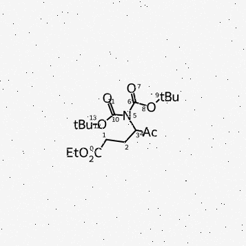 CCOC(=O)CCC(C(C)=O)N(C(=O)OC(C)(C)C)C(=O)OC(C)(C)C